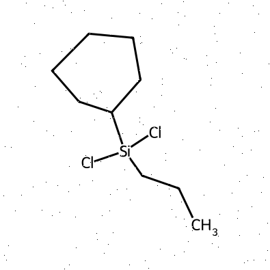 CCC[Si](Cl)(Cl)C1CCCCC1